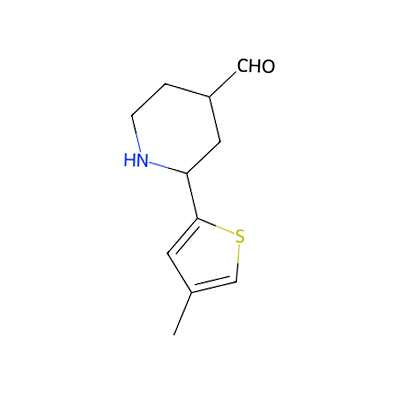 Cc1csc(C2CC(C=O)CCN2)c1